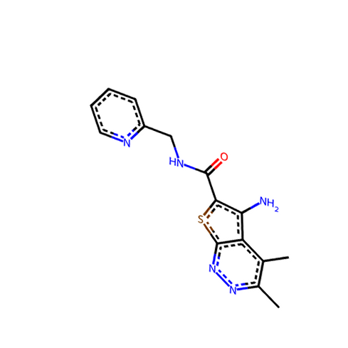 Cc1nnc2sc(C(=O)NCc3ccccn3)c(N)c2c1C